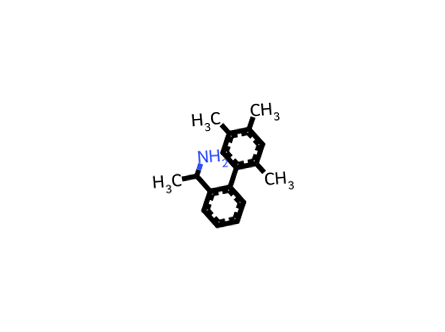 Cc1cc(C)c(-c2ccccc2C(C)N)cc1C